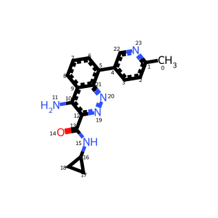 Cc1ccc(-c2cccc3c(N)c(C(=O)NC4CC4)nnc23)cn1